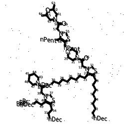 CCCCCCCCCCCCCCCCCCc1sc[n+](CC(=O)N2CCOCC2)c1CCCCCCCCCCCCCCCCCC.CCCCCCCCCCCCc1sc[n+](CC(=O)N2CCCCC2)c1CCCCCCCCCCCC.CCCCCc1sc[n+](CC(=O)N2CC(C)OC(C)C2)c1CCCCC.[Br-].[Br-].[Br-]